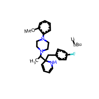 COc1ccccc1N1CCN(C(C)C2(Cc3ccc(F)cc3)C=CC=CN2)CC1.[Li][CH2]CCC